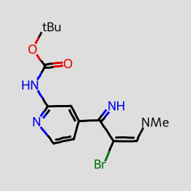 CN/C=C(/Br)C(=N)c1ccnc(NC(=O)OC(C)(C)C)c1